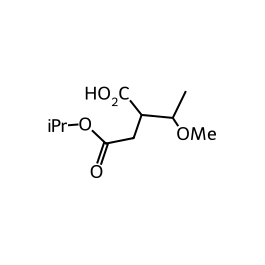 COC(C)C(CC(=O)OC(C)C)C(=O)O